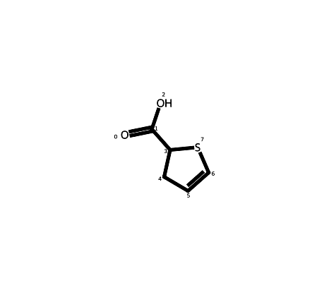 O=C(O)C1CC=CS1